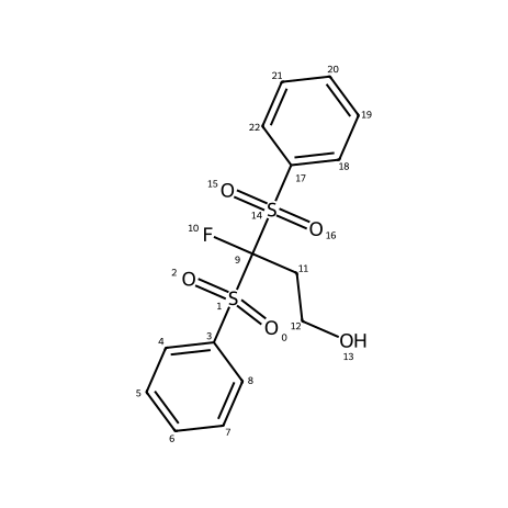 O=S(=O)(c1ccccc1)C(F)(CCO)S(=O)(=O)c1ccccc1